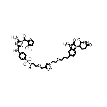 Cc1ccsc1C(=O)n1nc(Nc2ccc(S(=O)(=O)NCCOCc3cn(CCOCCCc4ccc5c(c4)n(C)c(=O)n5C4CCC(=O)NC4=O)nn3)cc2)nc1N